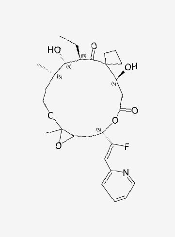 CC[C@H]1C(=O)C2(CCC2)[C@@H](O)CC(=O)O[C@H](C(F)=Cc2ccccn2)CC2OC2(C)CCC[C@H](C)[C@@H]1O